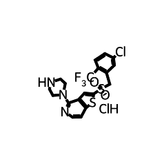 Cl.O=S(=O)(Cc1cc(Cl)ccc1C(F)(F)F)c1cc2c(N3CCNCC3)nccc2s1